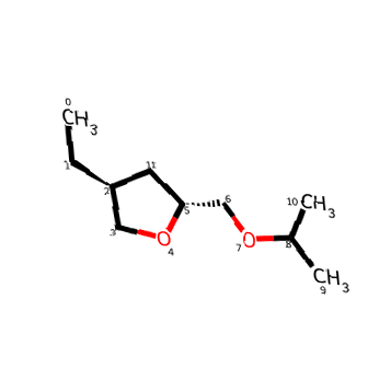 CC[C@@H]1CO[C@@H](COC(C)C)C1